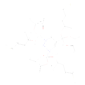 CCO[Si](OCC)(OC(C)CCCS)C1=CN([Si](OCC)(OCC)OC(C)CCCS)NN([Si](OCC)(OCC)OC(C)CCCS)C1